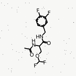 CC(=O)NC(COC(F)F)C(=O)NCc1ccc(F)c(F)c1